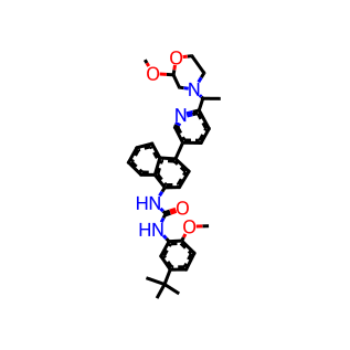 COc1ccc(C(C)(C)C)cc1NC(=O)Nc1ccc(-c2ccc(C(C)N3CCOC(OC)C3)nc2)c2ccccc12